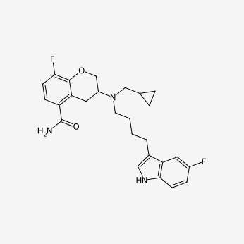 NC(=O)c1ccc(F)c2c1CC(N(CCCCc1c[nH]c3ccc(F)cc13)CC1CC1)CO2